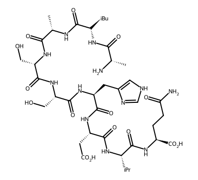 CC[C@H](C)[C@H](NC(=O)[C@H](C)N)C(=O)N[C@@H](C)C(=O)N[C@@H](CO)C(=O)N[C@@H](CO)C(=O)N[C@@H](Cc1c[nH]cn1)C(=O)N[C@@H](CC(=O)O)C(=O)N[C@H](C(=O)N[C@@H](CCC(N)=O)C(=O)O)C(C)C